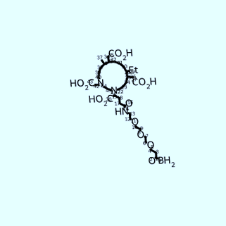 BC(=O)CCOCCOCCOCCNC(=O)CCC(C(=O)O)N1CCCC(CC(=O)O)C(CC)CCCC(CC(=O)O)C(C)CCCN(CC(=O)O)CC1